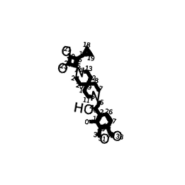 Cc1c(C(O)CN2CCC3(CC2)CCN(c2c(C4CC4)c(=O)c2=O)CC3)ccc2c1COC2=O